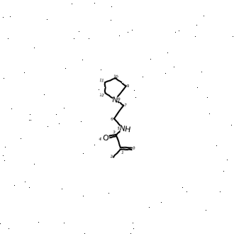 C=C(C)C(=O)NCCN1CCCC1